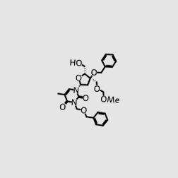 COCOC[C@]1(OCc2ccccc2)C[C@H](n2cc(C)c(=O)n(COCc3ccccc3)c2=O)O[C@@H]1CO